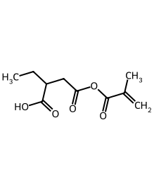 C=C(C)C(=O)OC(=O)CC(CC)C(=O)O